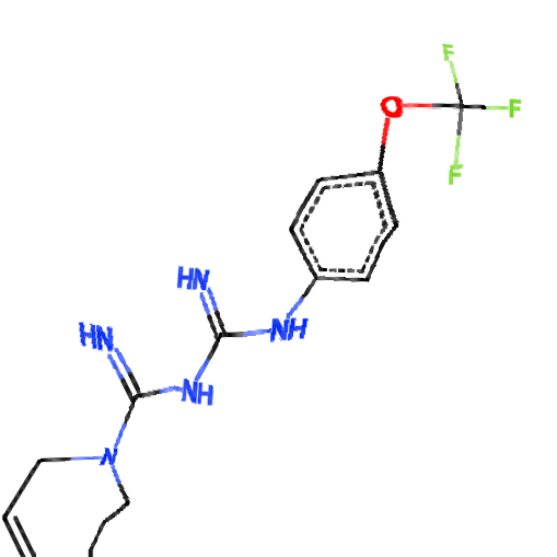 N=C(NC(=N)N1CC=CCC1)Nc1ccc(OC(F)(F)F)cc1